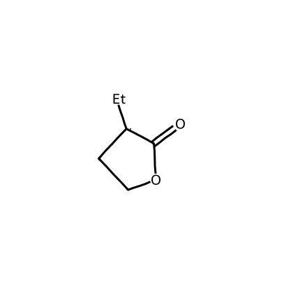 CC[C]1CCOC1=O